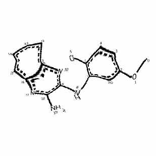 COc1ccc(Cl)c(Nc2nc3ccccc3nc2N)c1